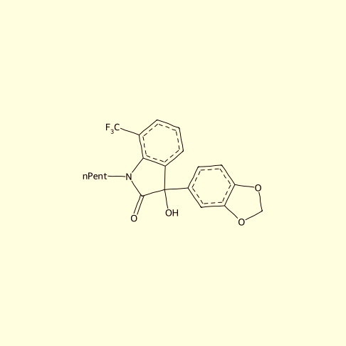 CCCCCN1C(=O)C(O)(c2ccc3c(c2)OCO3)c2cccc(C(F)(F)F)c21